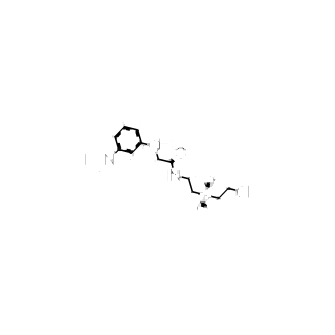 Cl.Nc1cccc(OCC(=O)NCCS(=O)(=O)CCCl)c1